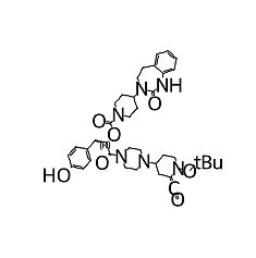 CC(C)(C)ON1CCC(N2CCN(C(=O)[C@@H](Cc3ccc(O)cc3)OC(=O)N3CCC(N4CCc5ccccc5NC4=O)CC3)CC2)CC1=C=O